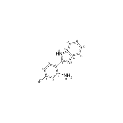 Nc1cc(F)ccc1-c1nc2ccccc2[nH]1